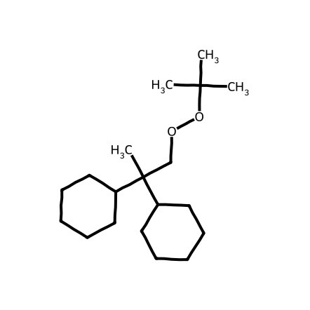 CC(C)(C)OOCC(C)(C1CCCCC1)C1CCCCC1